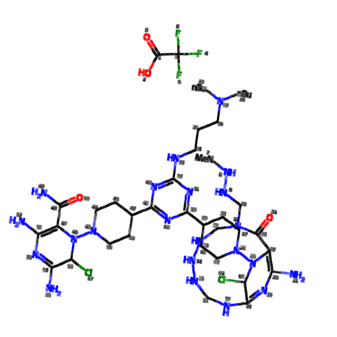 O=C(O)C(F)(F)F.[CH2]NNNCN1CNNNCNC2=NC(N)=C(C1=O)N(N1CCC(c3nc(NCCCN(CCCC)CCCC)nc(C4CCN(N5C(C(N)=O)=C(N)N=C(N)C5Cl)CC4)n3)CC1)C2Cl